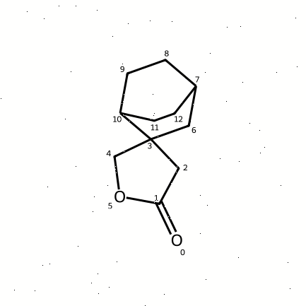 O=C1CC2(CO1)CC1CCC2CC1